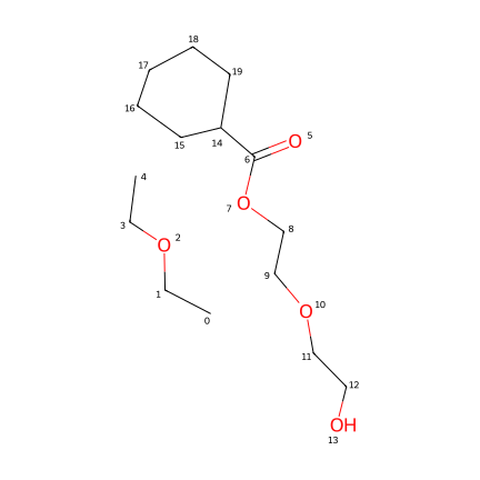 CCOCC.O=C(OCCOCCO)C1CCCCC1